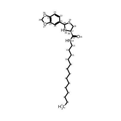 CCCCCCCCCCCCCCNC(=O)[C@@H]1CSC(c2ccc3c(c2)OCO3)N1